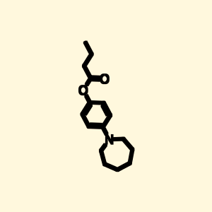 CCCC(=O)Oc1ccc(N2CCCCCC2)cc1